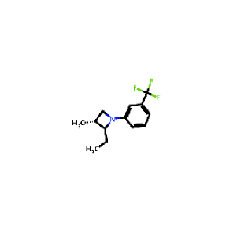 CCC1[C@H](C)CN1c1cccc(C(F)(F)F)c1